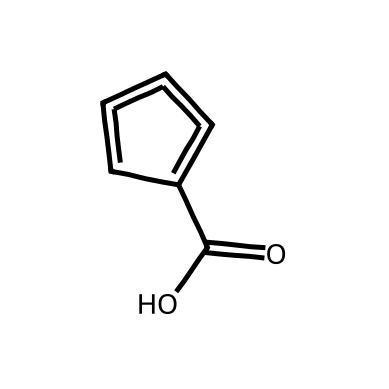 O=C(O)C1=C=C=C=C1